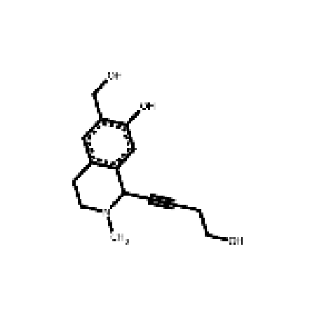 CN1CCc2cc(CO)c(O)cc2C1C#CCCO